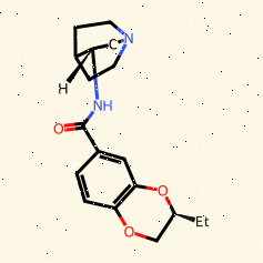 CC[C@H]1COc2ccc(C(=O)N[C@H]3CN4CCC3CC4)cc2O1